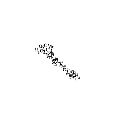 COC(=O)C(C)(C)Cc1nc(-c2nc(COCOCC[Si](C)(C)C)cs2)no1